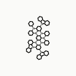 c1ccc(N2c3ccccc3B3c4cc5c6c7c4N(c4ccccc4B7c4ccccc4N6c4cc(-n6c7ccccc7c7ccccc76)cc6c4B5c4cccc5c7ccccc7n-6c45)c4cc(-n5c6ccccc6c6ccccc65)cc2c43)cc1